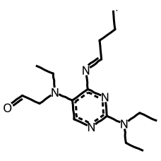 [CH2]CCC=Nc1nc(N(CC)CC)ncc1N(CC)CC=O